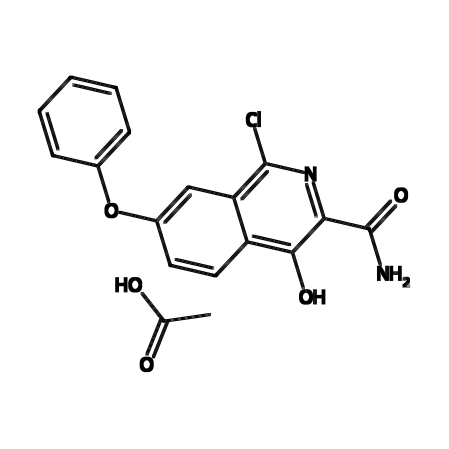 CC(=O)O.NC(=O)c1nc(Cl)c2cc(Oc3ccccc3)ccc2c1O